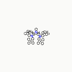 CC1(C)C2=CCCC=C2c2ccc(N(C3=CC4c5cc(N(c6ccc7c(c6)C(C)(C)c6ccccc6-7)c6ccc7c(c6)C(c6ccccc6)(c6ccccc6)c6ccccc6-7)ccc5N(c5ccccc5)C4C=C3)c3ccc4c(c3)C(c3ccccc3)(c3ccccc3)c3ccccc3-4)cc21